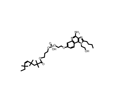 CCCCc1nc2c(N)nc3cc(OCCOP(=O)(O)OCCCOC(=O)C(C)(C)CC(C)(C)/C=C\C(C)(C)CC)ccc3c2n1CCO